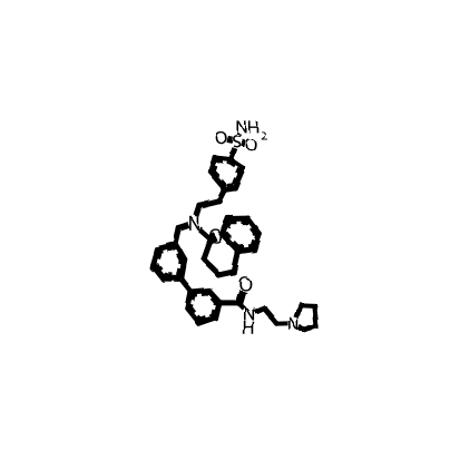 NS(=O)(=O)c1ccc(CCN(Cc2cccc(-c3cccc(C(=O)NCCN4CCCC4)c3)c2)C(=O)CCCc2ccccc2)cc1